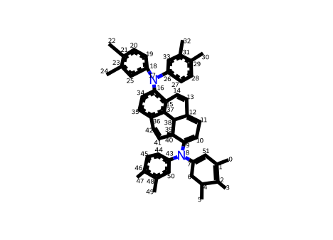 CC1=C(C)C(C)CC(N(C2=CC=C3C=Cc4c(N(c5ccc(C)c(C)c5)c5ccc(C)c(C)c5)ccc5c4C3C2(C)C=C5)c2ccc(C)c(C)c2)=C1